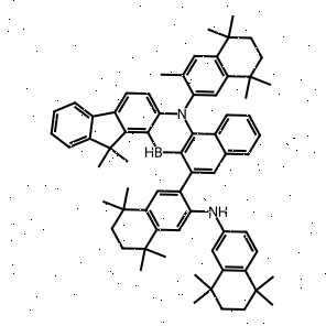 Cc1cc2c(cc1N1c3ccc4c(c3Bc3c(-c5cc6c(cc5Nc5ccc7c(c5)C(C)(C)CCC7(C)C)C(C)(C)CCC6(C)C)cc5ccccc5c31)C(C)(C)c1ccccc1-4)C(C)(C)CCC2(C)C